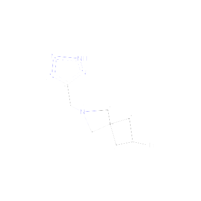 CC(C)C1CC2(C1)CN(Cc1nn[nH]n1)C2